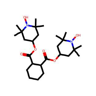 CC1(C)CC(OC(=O)C2CCCCC2C(=O)OC2CC(C)(C)N(O)C(C)(C)C2)CC(C)(C)N1O